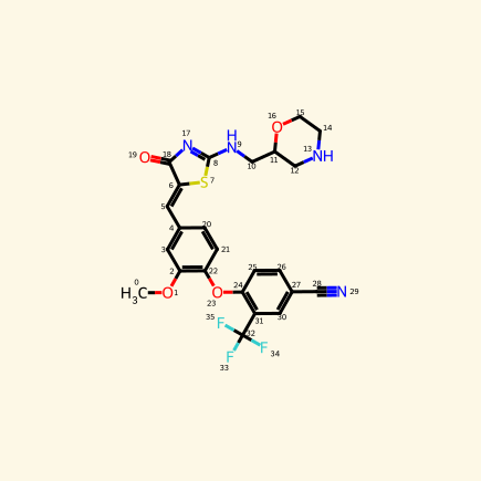 COc1cc(/C=C2\SC(NCC3CNCCO3)=NC2=O)ccc1Oc1ccc(C#N)cc1C(F)(F)F